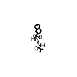 C=C(C)C(=O)NCCNS(=O)(=O)c1ccc2ccccc2c1